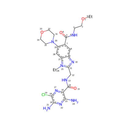 CCOCCNC(=O)c1cc2nc(CNC(=O)c3nc(Cl)c(N)nc3N)n(CC)c2cc1N1CCOCC1